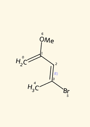 C=C(/C=C(\C)Br)OC